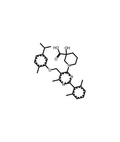 Cc1ccc(C(C)C)cc1OCc1c(C)nc(-c2c(C)cccc2C)nc1N1CCCC(O)(C(=O)O)C1